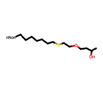 CCCCCCCCCCCCCCCCSCCOCCC(C)O